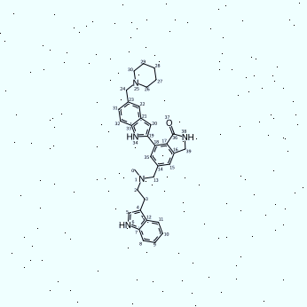 CN(CCc1c[nH]c2ccccc12)Cc1cc2c(c(-c3cc4cc(CN5CCCCC5)ccc4[nH]3)c1)C(=O)NC2